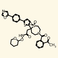 CC(=O)c1ccccc1C(=O)N1CCC(CC(=O)NOC2CCCCO2)(c2ccc(-c3ccc(-c4cnco4)cc3)s2)S(=O)(=O)CC1